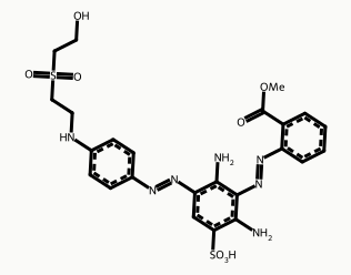 COC(=O)c1ccccc1/N=N/c1c(N)c(/N=N/c2ccc(NCCS(=O)(=O)CCO)cc2)cc(S(=O)(=O)O)c1N